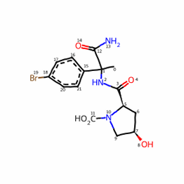 CC(NC(=O)[C@H]1C[C@@H](O)CN1C(=O)O)(C(N)=O)c1ccc(Br)cc1